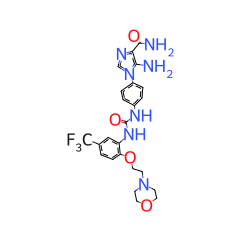 NC(=O)c1ncn(-c2ccc(NC(=O)Nc3cc(C(F)(F)F)ccc3OCCN3CCOCC3)cc2)c1N